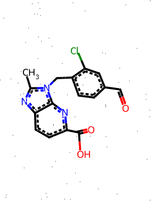 Cc1nc2ccc(C(=O)O)nc2n1Cc1ccc(C=O)cc1Cl